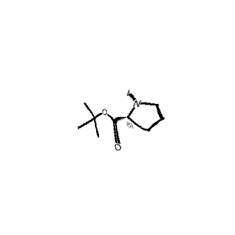 CC(C)(C)OC(=O)[C@@H]1CCCN1I